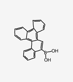 OB(O)c1cc2c3ccccc3c3ccccc3c2c2ccccc12